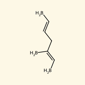 B/C=C/C/C(B)=C/B